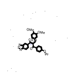 COc1ccc(C/C(C(=O)c2ccc(OC(C)C)cc2)=C(\C(=O)O)c2ccc3nsnc3c2)cc1OC